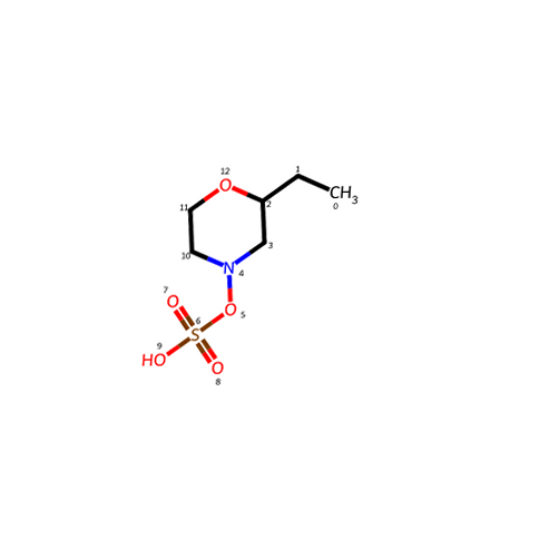 CCC1CN(OS(=O)(=O)O)CCO1